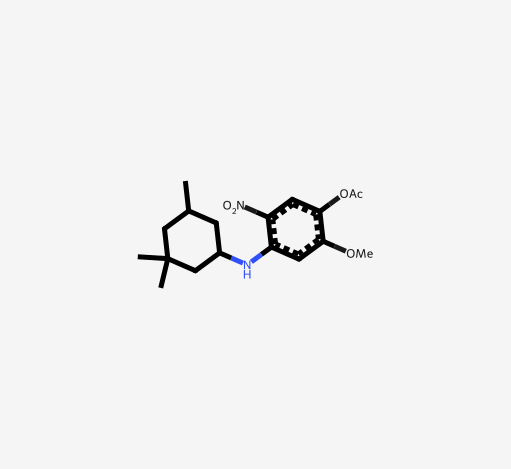 COc1cc(NC2CC(C)CC(C)(C)C2)c([N+](=O)[O-])cc1OC(C)=O